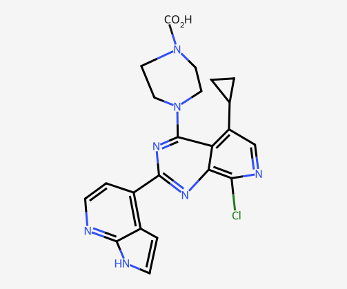 O=C(O)N1CCN(c2nc(-c3ccnc4[nH]ccc34)nc3c(Cl)ncc(C4CC4)c23)CC1